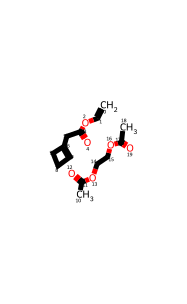 C=COC(=O)CC1=CCC1.CC(=O)OCCOC(C)=O